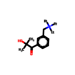 CC[N+](CC)(CC)Cc1cccc(C(=O)C(C)(C)O)c1